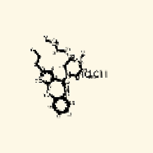 CCCc1cc2c(s1)Sc1ccccc1N=C2N1CCN(C)[C@@H](CCOC)C1.Cl.Cl